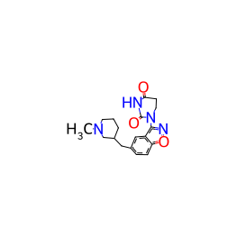 CN1CCCC(Cc2ccc3onc(N4CCC(=O)NC4=O)c3c2)C1